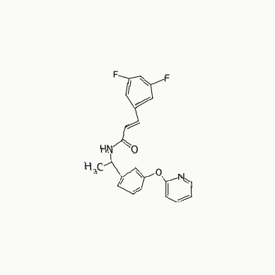 CC(NC(=O)C=Cc1cc(F)cc(F)c1)c1cccc(Oc2ccccn2)c1